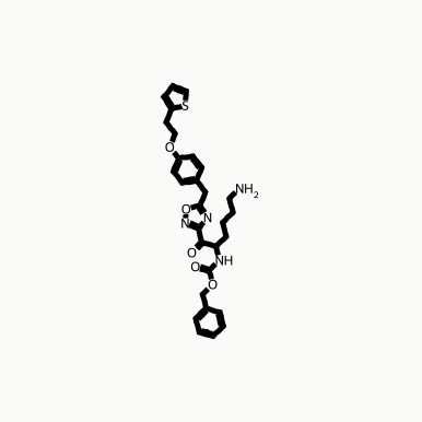 NCCCCC(NC(=O)OCc1ccccc1)C(=O)c1noc(Cc2ccc(OCCc3cccs3)cc2)n1